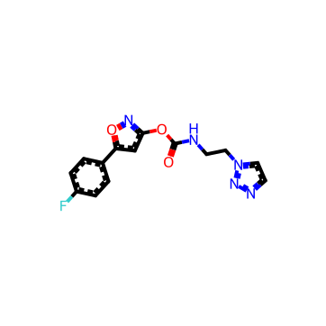 O=C(NCCn1ccnn1)Oc1cc(-c2ccc(F)cc2)on1